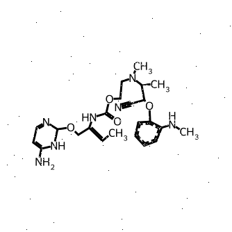 C/C=C(/COC1N=CC=C(N)N1)NC(=O)OCCN(C)[C@@H](C)C(C#N)Oc1ccccc1NC